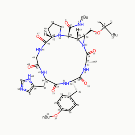 CCCCNC(=O)[C@H]1[C@@H]2[C@@H](CO[Si](C)(C)C(C)(C)C)N2C(=O)[C@H](C)NC(=O)[C@H](Cc2ccc(OCCCC)cc2)NC(=O)[C@H](Cc2cnc[nH]2)NC(=O)CNC(=O)[C@@H]2CCCN21